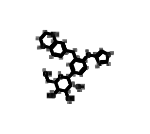 OC[C@H]1O[C@@H](c2ccc(Oc3cocn3)c(Cc3ccc4c(c3)NCCO4)c2)[C@H](O)C(O)C1O